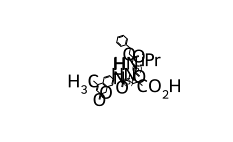 Cc1cc(=O)oc2cc(NC(=O)[C@H](CCC(=O)O)NC(=O)[C@H](CC(C)C)NC(=O)OCc3ccccc3)ccc12